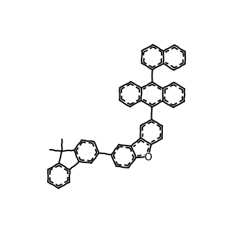 CC1(C)c2ccccc2-c2cc(-c3ccc4oc5ccc(-c6c7ccccc7c(-c7cccc8ccccc78)c7ccccc67)cc5c4c3)ccc21